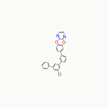 Clc1cc(-c2ccccc2)cc(-c2cccc(-c3ccc4c(c3)Oc3nccnc3O4)c2)c1